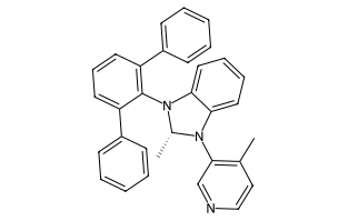 Cc1ccncc1N1c2ccccc2N(c2c(-c3ccccc3)cccc2-c2ccccc2)[C@H]1C